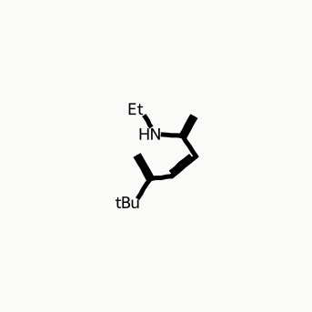 C=C(/C=C\C(=C)C(C)(C)C)NCC